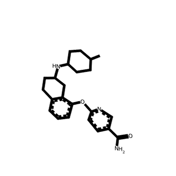 CC1CCC(NC2CCc3cccc(Oc4ccc(C(N)=O)cn4)c3C2)CC1